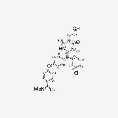 CNC(=O)c1ccc(Oc2ccc(/N=c3\[nH]c(=O)n(CCO)c(=O)n3Cc3ccc(Cl)cc3)cc2)cc1